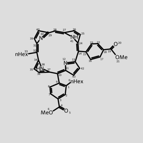 CCCCCCc1cc(C(=O)OC)ccc1-c1c2nc(c(-c3ccc(C(=O)OC)cc3)c3ccc(cc4nc(c(CCCCCC)c5ccc1[nH]5)C=C4)[nH]3)C=C2